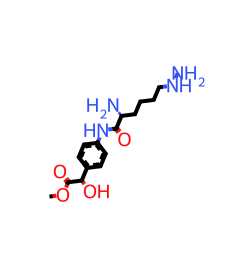 COC(=O)C(O)c1ccc(NC(=O)[C@@H](N)CCCCNN)cc1